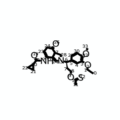 CCOc1cc([C@@H](CCOC(C)=S)N2C=C3C(NC(=O)C4CC4)=CCC(=O)C3C2)ccc1OC